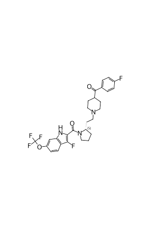 O=C(c1ccc(F)cc1)C1CCN(CC[C@@H]2CCCN2C(=O)c2[nH]c3cc(OC(F)(F)F)ccc3c2F)CC1